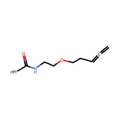 C=C=CCCOCCNC(=O)CCC